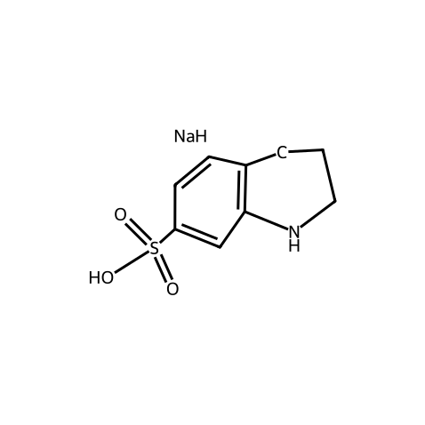 O=S(=O)(O)c1ccc2c(c1)NCCC2.[NaH]